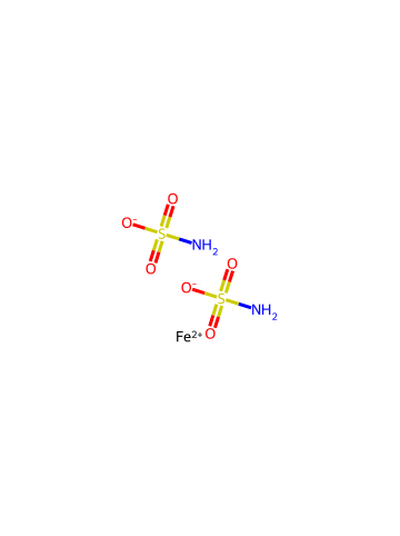 NS(=O)(=O)[O-].NS(=O)(=O)[O-].[Fe+2]